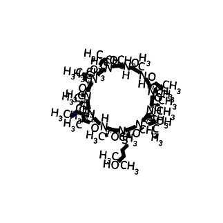 C/C=C/C[C@@H](C)C[C@H]1C(=O)N[C@@H](CC)C(=O)N(C)[C@H](CSCCCC(C)(C)O)C(=O)N(C)[C@@H](CC(C)(C)O)C(=O)N[C@H](C(C)C)C(=O)N(C)[C@H](CC(C)C)C(=O)NC(C)C(=O)N[C@@H](C)C(=O)N(C)[C@@H](CC(C)C)C(=O)N(C)[C@@H](CC(C)C)C(=O)N(C)[C@@H](C(C)C)C(=O)N1C